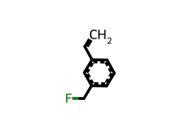 C=Cc1cccc(CF)c1